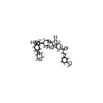 COc1cccc(/C=C/C(=O)N2CCC(O)(C(O)CN3CCC(c4c[nH]c5ccc(N6CCOCC6)cc45)CC3)CC2)c1